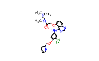 CN(C)CCN(C)C(=O)COc1cccc2ncnc(Nc3ccc(OCc4ccccn4)c(Cl)c3)c12